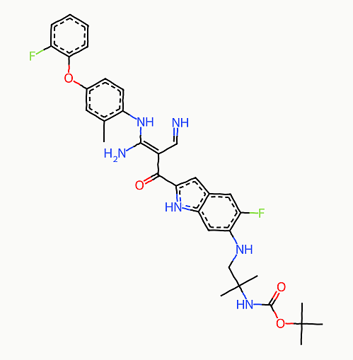 Cc1cc(Oc2ccccc2F)ccc1N/C(N)=C(\C=N)C(=O)c1cc2cc(F)c(NCC(C)(C)NC(=O)OC(C)(C)C)cc2[nH]1